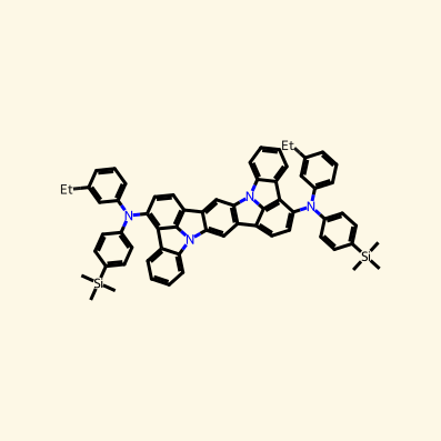 CCc1cccc(N(c2ccc([Si](C)(C)C)cc2)c2ccc3c4cc5c(cc4n4c6ccccc6c2c34)c2ccc(N(c3ccc([Si](C)(C)C)cc3)c3cccc(CC)c3)c3c4ccccc4n5c23)c1